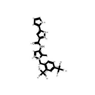 Cc1c(NC(=O)c2cc(-c3cccs3)on2)cnn1Cc1ccc(C(F)(F)F)cc1C(F)(F)F